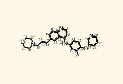 Cc1cc(Nc2ncnc3ccc(/C=C/CN4CCOCC4)cc23)ccc1Oc1cccnc1